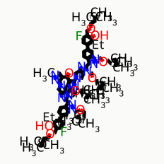 CCc1c(-c2ccc3c(-c4nc5c(n4COCC[Si](C)(C)C)CN(c4nn(C)cc4C(=O)c4cn(C)nc4N4Cc6nc(-c7nn(COCC[Si](C)(C)C)c8cc(-c9cc(F)c(COCC[Si](C)(C)C)c(O)c9CC)ccc78)n(COCC[Si](C)(C)C)c6C4)C5)nn(COCC[Si](C)(C)C)c3c2)cc(F)c(COCC[Si](C)(C)C)c1O